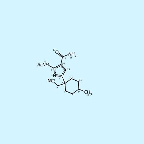 CC(=O)Nc1nn(C2(CC#N)CCC(C)CC2)cc1C(N)=O